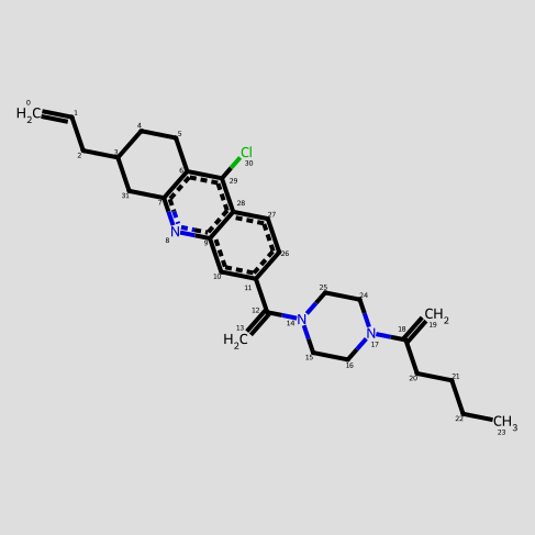 C=CCC1CCc2c(nc3cc(C(=C)N4CCN(C(=C)CCCC)CC4)ccc3c2Cl)C1